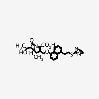 C[C@@H](O)[C@H]1C(=O)N2C(C(=O)O)=C(COc3cccc4c(CCSC5=NC6CN56)cccc34)[C@H](C)[C@H]12